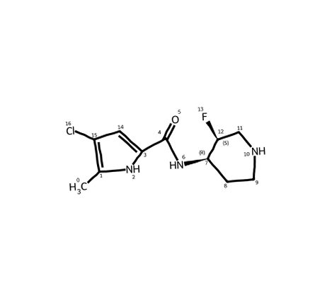 Cc1[nH]c(C(=O)N[C@@H]2CCNC[C@@H]2F)cc1Cl